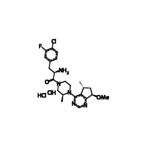 CO[C@@H]1C[C@@H](C)c2c1ncnc2N1CCN(C(=O)[C@H](N)Cc2ccc(Cl)c(F)c2)C[C@@H]1C.Cl.Cl